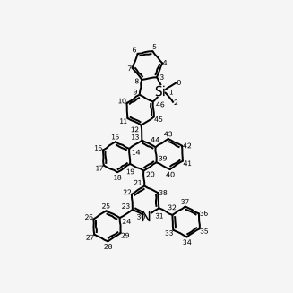 C[Si]1(C)c2ccccc2-c2ccc(-c3c4ccccc4c(-c4cc(-c5ccccc5)nc(-c5ccccc5)c4)c4ccccc34)cc21